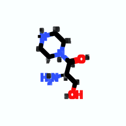 N[C@@H](CO)C(=O)N1CC[N]CC1